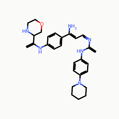 C=C(/N=C\C=C(/N)c1ccc(NC(=C)C2COCCN2)cc1)Nc1ccc(N2CCCCC2)cc1